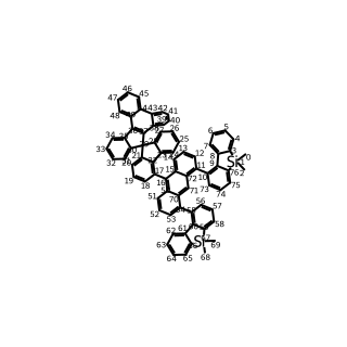 C[Si]1(C)c2ccccc2-c2c(-c3cccc4c(-c5cccc6c5-c5ccccc5C65c6ccccc6-c6c5c5ccccc5c5ccccc65)c5cccc(-c6cccc7c6-c6ccccc6[Si]7(C)C)c5cc34)cccc21